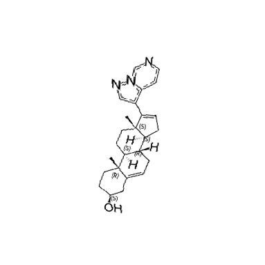 C[C@]12CC[C@H](O)CC1=CC[C@@H]1[C@@H]2CC[C@]2(C)C(c3cnn4cnccc34)=CC[C@@H]12